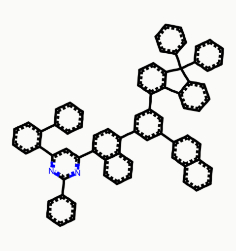 c1ccc(-c2nc(-c3ccccc3-c3ccccc3)cc(-c3ccc(-c4cc(-c5ccc6ccccc6c5)cc(-c5cccc6c5-c5ccccc5C6(c5ccccc5)c5ccccc5)c4)c4ccccc34)n2)cc1